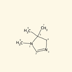 CN1[C]=NCC1(C)C